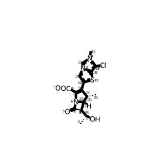 C[C@@H](O)[C@H]1C(=O)N2C(C(=O)[O-])=C(c3c[n+]4cn(C)c(Cl)c4s3)[C@H](C)[C@H]12